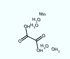 O.O.O.O.O=C(O)C(=O)O.[Mn]